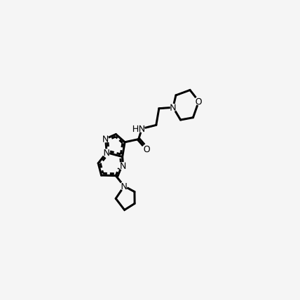 O=C(NCCN1CCOCC1)c1cnn2ccc(N3CCCC3)nc12